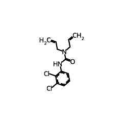 C=CCN(CC=C)C(=O)Nc1cccc(Cl)c1Cl